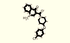 Cn1cc(C(=O)N2CCC(Oc3ccc(Cl)cc3)CC2)c(=O)c2ccccc21